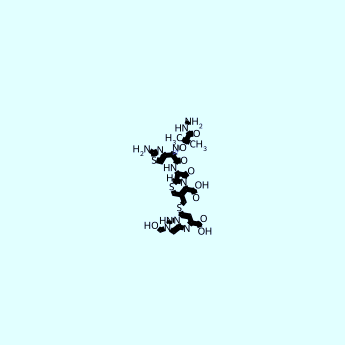 CC(C)(O/N=C(\C(=O)NC1C(=O)N2C(C(=O)O)=C(CSC3=CC(C(=O)O)=NC4=CN(CO)NN43)CS[C@H]12)c1csc(N)n1)C(=O)NN